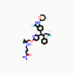 CN(C)C(=O)/C=C/CNC1(COc2ccc(/C(=C(/CC(F)(F)F)c3ccccc3)c3ccc4c(c3)c(F)nn4C3CCCCO3)cn2)CC1